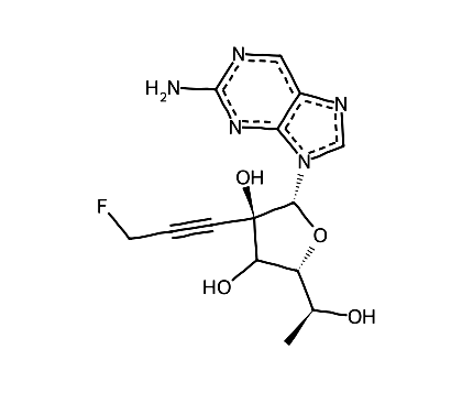 C[C@H](O)[C@H]1O[C@@H](n2cnc3cnc(N)nc32)[C@@](O)(C#CCF)C1O